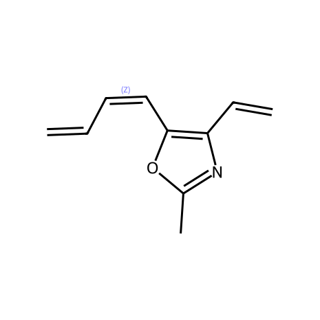 C=C/C=C\c1oc(C)nc1C=C